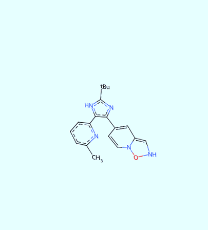 Cc1cccc(-c2[nH]c(C(C)(C)C)nc2C2=CC3=CNON3C=C2)n1